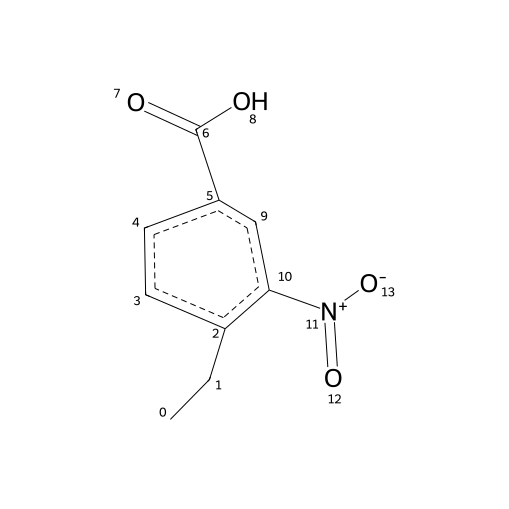 CCc1ccc(C(=O)O)cc1[N+](=O)[O-]